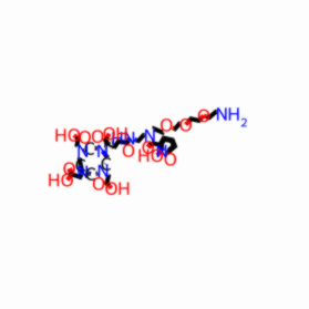 NCCOCCOCCOCCN(CCNC(=O)CC[C@H](C(=O)O)N1CCN(CC(=O)O)CCN(CC(=O)O)CCN(CC(=O)O)CC1)C(=O)c1cccc(=O)n1O